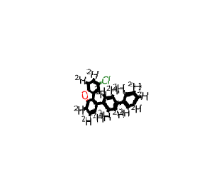 [2H]c1c([2H])c([2H])c(-c2c([2H])c([2H])c(-c3c([2H])c([2H])c([2H])c4oc5c([2H])c([2H])c(Cl)c([2H])c5c34)c([2H])c2[2H])c([2H])c1[2H]